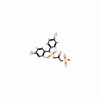 CS(=O)(=O)CC(=O)CS(=O)(=O)C(c1ccc(Cl)cc1)c1ccc(Cl)cc1